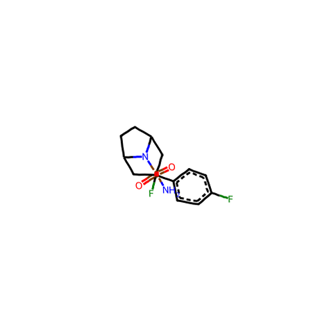 NS(=O)(=O)N1C2CCC1CC(F)(c1ccc(F)cc1)C2